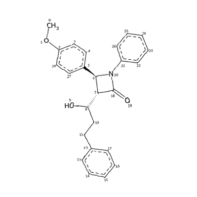 COc1ccc([C@@H]2[C@@H](C(O)CCc3ccccc3)C(=O)N2c2ccccc2)cc1